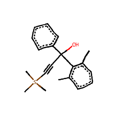 Cc1cccc(C)c1C(O)(C#CS(C)(C)C)c1ccccc1